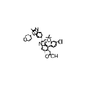 Cc1cc2nc(-c3ccc4nc(C)n(C5CCOCC5)c4c3)sc2c(-c2ccc(Cl)cc2OC(C)(C)C)c1CC(=O)O